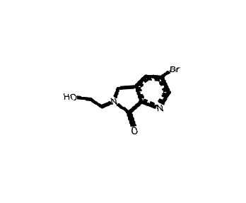 O=C1c2ncc(Br)cc2CN1CCO